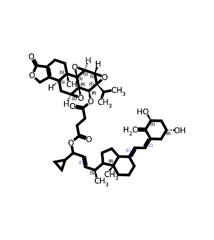 C=C1/C(=C\C=C2/CCC[C@@]3(C)C2CCC3[C@@H](C)/C=C/C(OC(=O)CCC(=O)O[C@@H]2[C@@]3(C(C)C)O[C@H]3[C@@H]3O[C@]34[C@]23O[C@H]3C[C@H]2C3=C(CC[C@@]24C)C(=O)OC3)C2CC2)C[C@@H](O)C[C@@H]1O